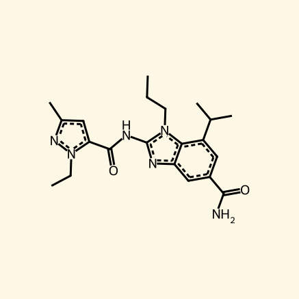 CCCn1c(NC(=O)c2cc(C)nn2CC)nc2cc(C(N)=O)cc(C(C)C)c21